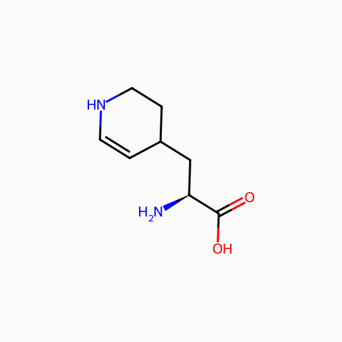 N[C@@H](CC1C=CNCC1)C(=O)O